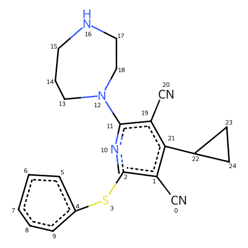 N#Cc1c(Sc2ccccc2)nc(N2CCCNCC2)c(C#N)c1C1CC1